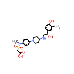 Cc1cc([C@@H](O)CNC2CCN(c3ccc(N(C)S(=O)(=O)CC(=O)O)cc3)CC2)ccc1O